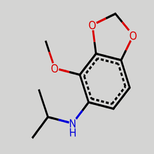 COc1c(NC(C)C)ccc2c1OCO2